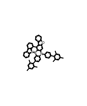 Cc1cc(C)c(-c2ccc(N3c4ccc(-c5c(C)cc(C)cc5C)cc4B4c5c3cc3oc6ccccc6c3c5-c3cccc5c6ccccc6n4c35)cc2)c(C)c1